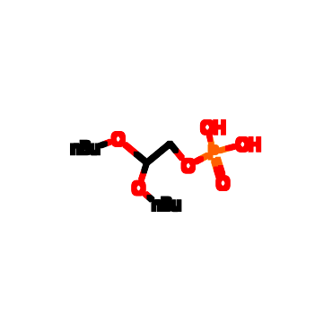 CCCCOC(COP(=O)(O)O)OCCCC